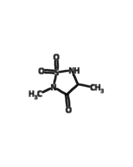 CC1NS(=O)(=O)N(C)C1=O